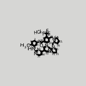 Cc1ccc(NC(=O)c2ccc(CN3CCC[C@H]3CN3CCCC3)c(C(F)(F)F)c2)cc1Nc1nccc(-c2cncnc2)n1.Cl